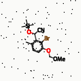 COCOc1ccc(C)c(C(C#N)O[Si](C)(C)C)c1Br